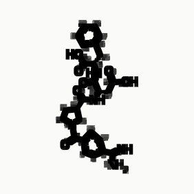 N=C(N)c1ccc(C(=O)N2CC[C@@H](C(=O)N[C@@H](CC(=O)O)C(=O)N[C@@H](Cc3ccccc3)C(=O)O)C2)cc1